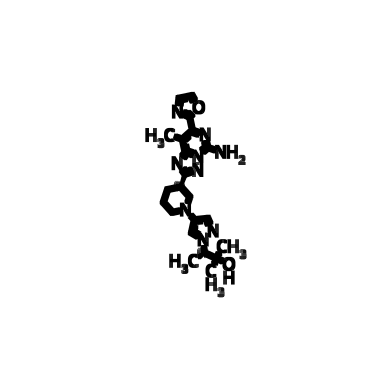 Cc1c(-c2ncco2)nc(N)n2nc([C@@H]3CCCN(c4cnn([C@H](C)C(C)(C)O)c4)C3)nc12